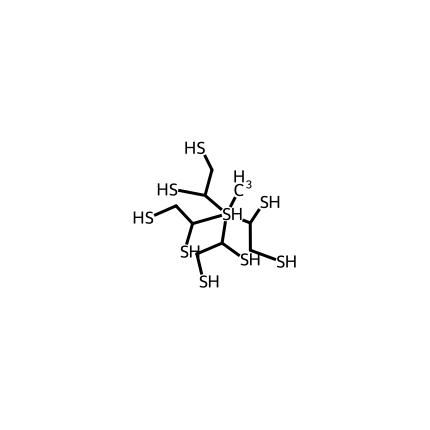 C[SH](C(S)CS)(C(S)CS)(C(S)CS)C(S)CS